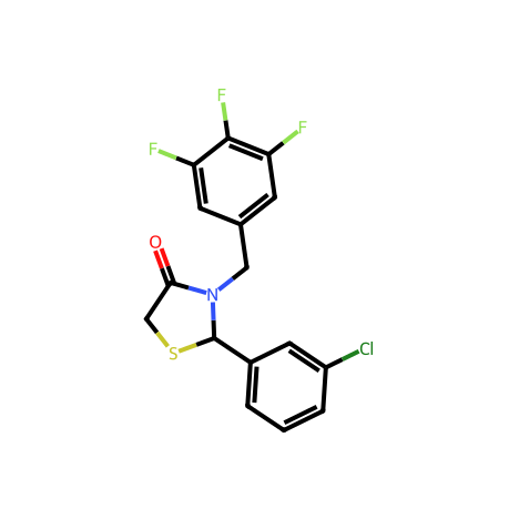 O=C1CSC(c2cccc(Cl)c2)N1Cc1cc(F)c(F)c(F)c1